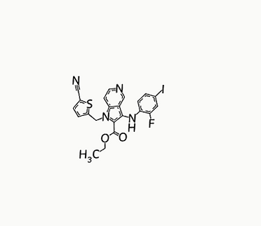 CCOC(=O)c1c(Nc2ccc(I)cc2F)c2cnccc2n1Cc1ccc(C#N)s1